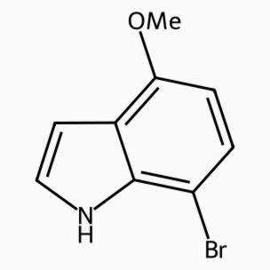 COc1ccc(Br)c2[nH]ccc12